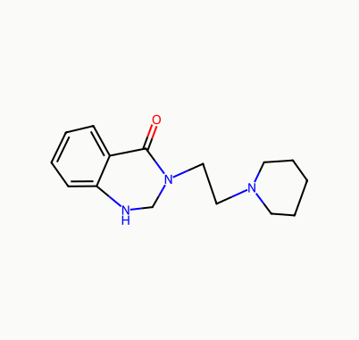 O=C1c2ccccc2NCN1CCN1CCCCC1